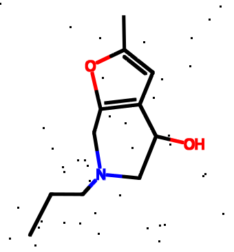 CCCN1Cc2oc(C)cc2C(O)C1